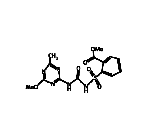 COC(=O)c1ccccc1S(=O)(=O)NC(=O)Nc1nc(C)nc(OC)n1